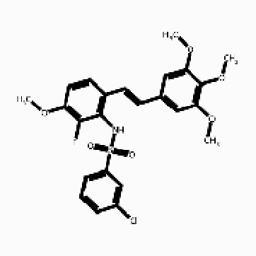 COc1ccc(C=Cc2cc(OC)c(OC)c(OC)c2)c(NS(=O)(=O)c2cccc(Cl)c2)c1F